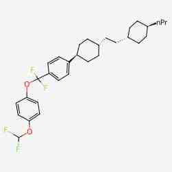 CCC[C@H]1CC[C@H](CC[C@H]2CC[C@H](c3ccc(C(F)(F)Oc4ccc(OC(F)F)cc4)cc3)CC2)CC1